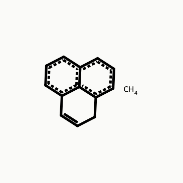 C.C1=Cc2cccc3cccc(c23)C1